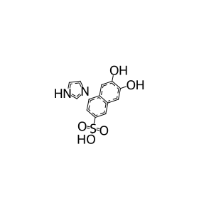 O=S(=O)(O)c1ccc2cc(O)c(O)cc2c1.c1c[nH]cn1